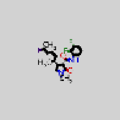 C=C(/C=C\C=C(/C)I)[C@@H]1CN(C)C(=O)[C@H]1C(=O)Nc1cccc(F)c1F